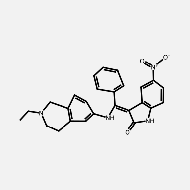 CCN1CCc2cc(NC(=C3C(=O)Nc4ccc([N+](=O)[O-])cc43)c3ccccc3)ccc2C1